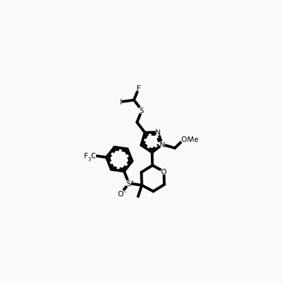 COCn1nc(CSC(F)I)cc1C1CC(C)([S+]([O-])c2cccc(C(F)(F)F)c2)CCO1